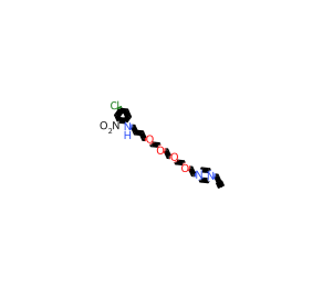 C#CCN1CCN(CCOCCOCCOCCOCCCCNc2ccc(Cl)cc2[N+](=O)[O-])CC1